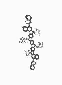 CCCCCCCCC1(CCCCCCCC)c2cc3c(cc2-c2cc4c(cc21)-c1cc2c(cc1C4(CCCCCCCC)CCCCCCCC)-c1c(cc(-c4cc5ccccc5o4)c4ccccc14)C2(C)C)C(C)(C)c1cc(-c2cc4ccccc4o2)c2ccccc2c1-3